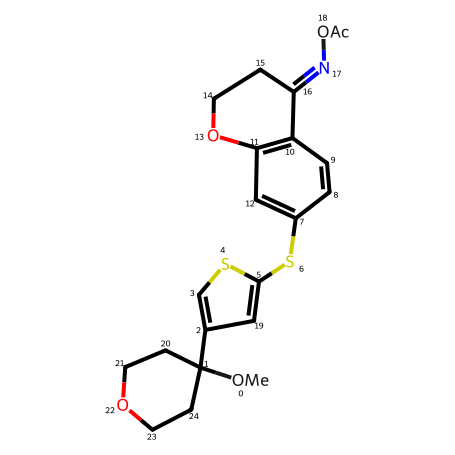 COC1(c2csc(Sc3ccc4c(c3)OCCC4=NOC(C)=O)c2)CCOCC1